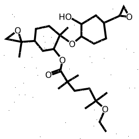 CCOC(C)(C)CCC(C)(C)C(=O)OC1CC(C2(C)CO2)CCC1(C)OC1CCC(C2CO2)CC1O